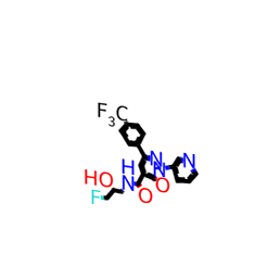 O=C(NC[C@H](O)CF)c1cc(-c2ccc(C(F)(F)F)cc2)nn(-c2cccnc2)c1=O